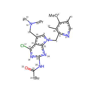 COc1c(C)cnc(Cn2cc(CN(C(C)C)C(C)C)c3c(Cl)nc(NC(=O)C(C)(C)C)nc32)c1C